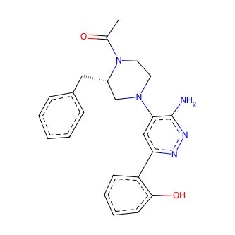 CC(=O)N1CCN(c2cc(-c3ccccc3O)nnc2N)C[C@@H]1Cc1ccccc1